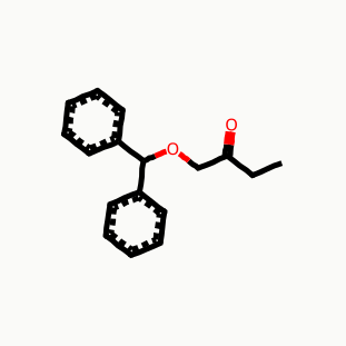 CCC(=O)COC(c1ccccc1)c1ccccc1